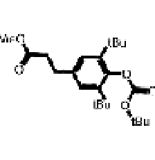 COC(=O)CCc1cc(C(C)(C)C)c(OC(=O)OC(C)(C)C)c(C(C)(C)C)c1